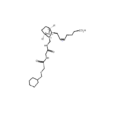 O=C(O)CCC/C=C\C[C@H]1[C@@H](CNC(=O)CNC(=O)CSCC2CCCCC2)[C@H]2CC[C@@H]1O2